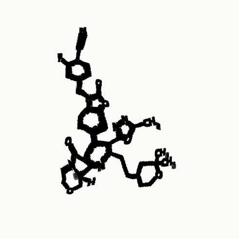 Cc1nnc(-c2c(CCC3CCOC(C)(C)C3)nc3c(c2-c2ccc4c(c2)oc(=O)n4Cc2ccc(C#N)c(F)c2)C(=O)N2CCOC[C@@H]32)o1